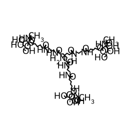 CC(=O)N[C@H]1[C@@H](OCCCCCC(=O)NCCCNC(=O)CCC(N)(CCC(=O)NCCCNC(=O)CCCCCO[C@H]2O[C@H](CO)[C@H](O)[C@H](O)[C@H]2NC(C)=O)CCC(=O)NCCCNC(=O)CCCCCO[C@H]2O[C@H](CO)[C@H](O)[C@H](O)[C@H]2NC(C)=O)O[C@H](CO)[C@H](O)[C@@H]1O